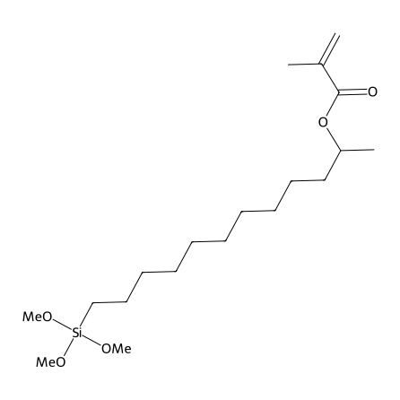 C=C(C)C(=O)OC(C)CCCCCCCCCC[Si](OC)(OC)OC